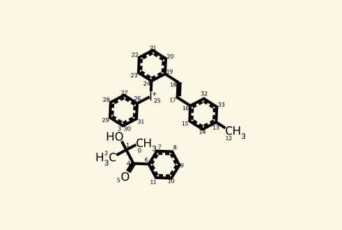 CC(C)(O)C(=O)c1ccccc1.Cc1ccc(C=Cc2ccccc2[I+]c2ccccc2)cc1